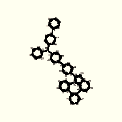 c1ccc(-c2ccc(N(c3ccccc3)c3ccc(-c4ccc(-c5nc6cccc7c6n5-c5ccccc5-c5ccccc5-7)cc4)cc3)cc2)cc1